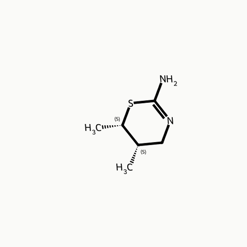 C[C@@H]1SC(N)=NC[C@@H]1C